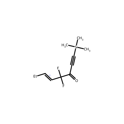 CC/C=C/C(F)(F)C(=O)C#C[Si](C)(C)C